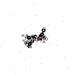 Cc1cc(-n2nc3c(c2-n2ccn(-c4cc5c(c(P(C)(C)=O)c4)CC=N5)c2=O)[C@H](C)N(C(=O)c2cc4cc(C5CCOCC5)ccc4n2[C@@]2(c4noc(=O)[nH]4)C[C@@H]2C)CC3)cc(C)c1F